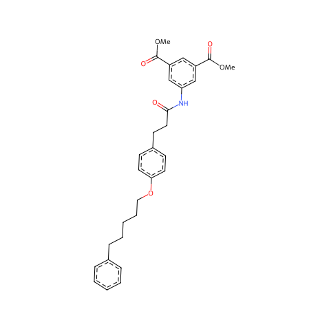 COC(=O)c1cc(NC(=O)CCc2ccc(OCCCCCc3ccccc3)cc2)cc(C(=O)OC)c1